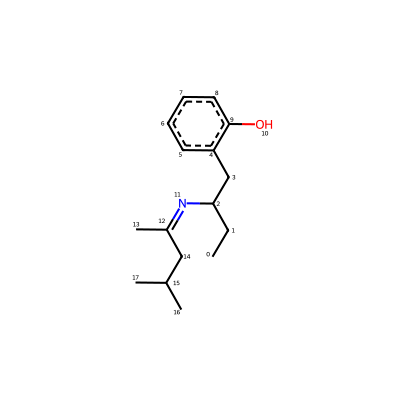 CCC(Cc1ccccc1O)N=C(C)CC(C)C